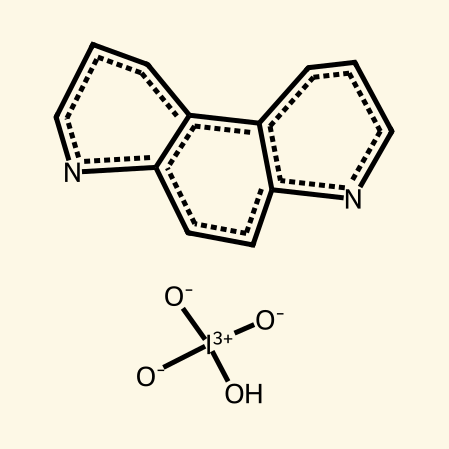 [O-][I+3]([O-])([O-])O.c1cnc2ccc3ncccc3c2c1